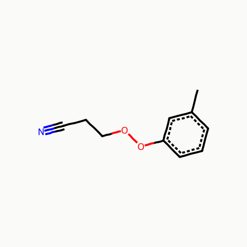 Cc1cccc(OOCCC#N)c1